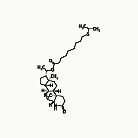 CC(C)SCCCCCCCCC(=O)OC(C)[C@H]1CC[C@H]2[C@@H]3CC[C@H]4NC(=O)CC[C@]4(C)[C@H]3CC[C@]12C